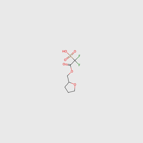 O=C(OCC1CCCO1)C(F)(F)S(=O)(=O)O